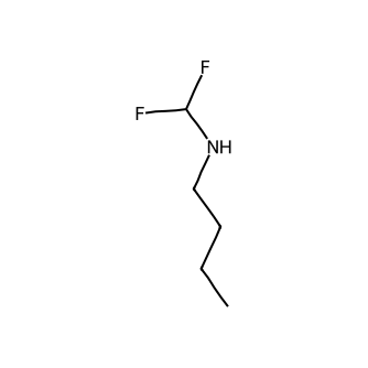 CCCCNC(F)F